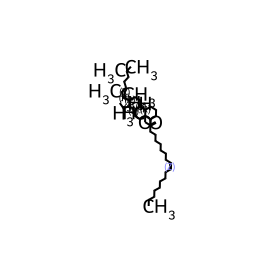 CCCCCCCC/C=C\CCCCCCCC(=O)OC12CCCC[C@]1(C)[C@H]1CC[C@]3(C)[C@@H]([C@H](C)CCCC(C)C)CC[C@H]3[C@@H]1CC2